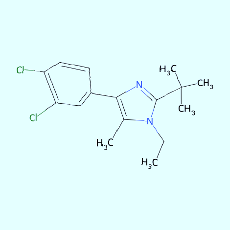 CCn1c(C(C)(C)C)nc(-c2ccc(Cl)c(Cl)c2)c1C